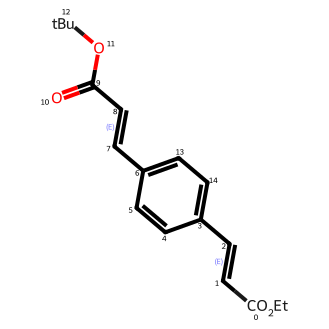 CCOC(=O)/C=C/c1ccc(/C=C/C(=O)OC(C)(C)C)cc1